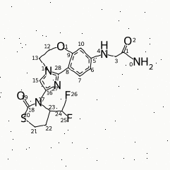 NC(=O)CNc1ccc2c(c1)OCCn1cc(N3C(=O)SCCC3C(F)F)nc1-2